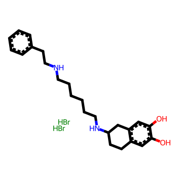 Br.Br.Oc1cc2c(cc1O)CC(NCCCCCCNCCc1ccccc1)CC2